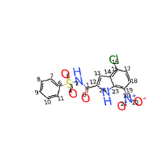 O=C(NS(=O)(=O)c1ccccc1)c1cc2c(Cl)ccc([N+](=O)[O-])c2[nH]1